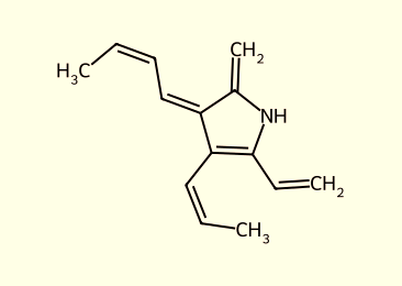 C=Cc1[nH]c(=C)/c(=C\C=C/C)c1/C=C\C